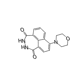 O=C1NNC(=O)c2ccc(N3CCOCC3)c3cccc1c23